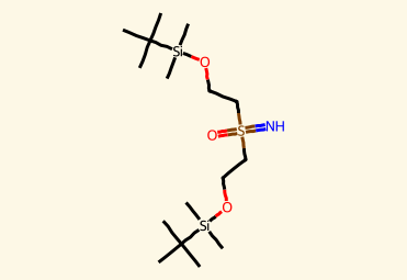 CC(C)(C)[Si](C)(C)OCCS(=N)(=O)CCO[Si](C)(C)C(C)(C)C